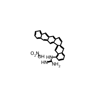 N=C(N)Nc1cccc2cc3ccc4cc5cc6ccccc6cc5cc4c3cc12.O=[N+]([O-])O